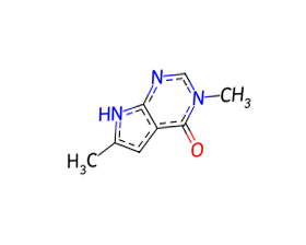 Cc1cc2c(=O)n(C)cnc2[nH]1